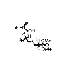 [2H]C([2H])(CSCC([2H])([2H])P(=O)(OC)OC)OP(O)N(C(C)C)C(C)C